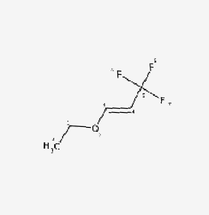 CCOC=CC(F)(F)F